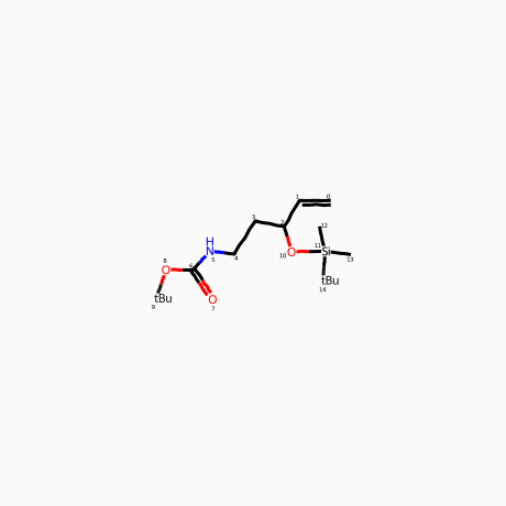 C=CC(CCNC(=O)OC(C)(C)C)O[Si](C)(C)C(C)(C)C